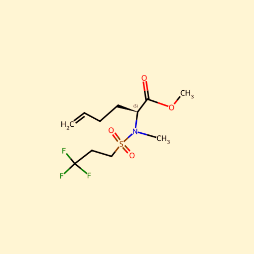 C=CCC[C@@H](C(=O)OC)N(C)S(=O)(=O)CCC(F)(F)F